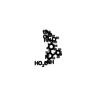 CC(C)(C)OC(=O)NC1(c2ccc(-c3cnc(NC(=O)O)cc3-c3ccsc3)cc2)CCC1